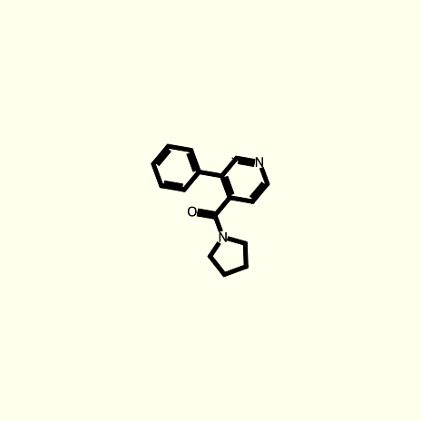 O=C(c1ccn[c]c1-c1ccccc1)N1CCCC1